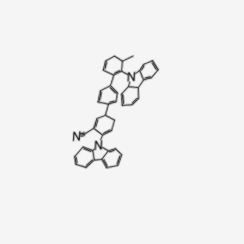 CC1CC=CC(c2ccc(C3C=C(C#N)C(n4c5ccccc5c5ccccc54)=CC3)cc2)=C1N1c2ccccc2C2C=CC=CC21